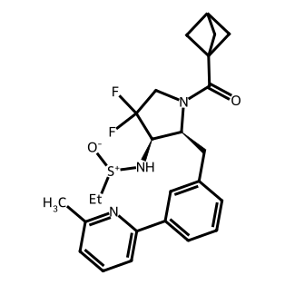 CC[S+]([O-])N[C@@H]1[C@H](Cc2cccc(-c3cccc(C)n3)c2)N(C(=O)C23CC(C2)C3)CC1(F)F